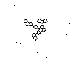 c1ccc(-c2ccc(-c3cccc4ccccc34)cc2N(c2ccc(-c3ccc4c(ccc5ccccc54)c3)cc2)c2cccc(-n3c4ccccc4c4ccccc43)c2)cc1